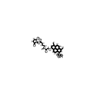 Cc1cc(OCC(=O)N(C)CCCC(=O)ON2C(=O)CCC2=O)c2ccc3c(S(=O)(=O)O)cc(C)c4ccc1c2c43